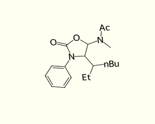 CCCCC(CC)C1C(N(C)C(C)=O)OC(=O)N1c1ccccc1